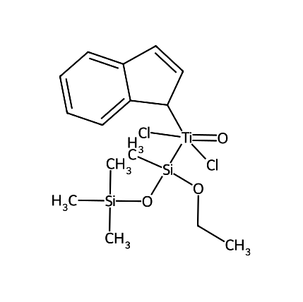 CCO[Si](C)(O[Si](C)(C)C)[Ti](=[O])([Cl])([Cl])[CH]1C=Cc2ccccc21